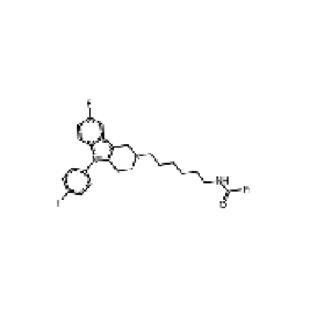 CC(C)C(=O)NCCCCCCN1CCc2c(c3cc(F)ccc3n2-c2ccc(F)cc2)C1